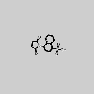 O=C1C=CC(=O)N1c1ccc(S(=O)(=O)O)c2ccccc12